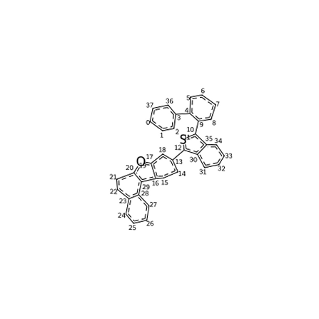 c1ccc(-c2ccccc2-c2sc(-c3ccc4c(c3)oc3ccc5ccccc5c34)c3ccccc23)cc1